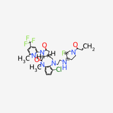 C=CC(=O)N1CC[C@H](NCCN2C[C@H]3CC(=O)N(c4cc(C(F)(F)F)cc(C)n4)[C@@H]3C(=O)N(C)c3cccc(Cl)c32)[C@H](F)C1